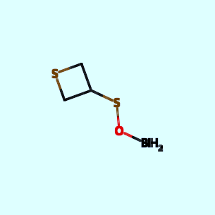 [BiH2][O]SC1CSC1